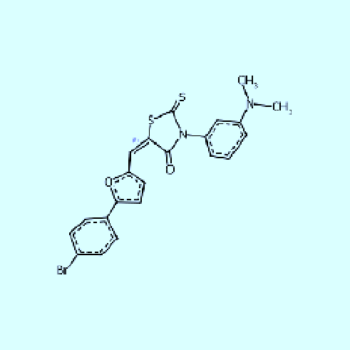 CN(C)c1cccc(N2C(=O)/C(=C\c3ccc(-c4ccc(Br)cc4)o3)SC2=S)c1